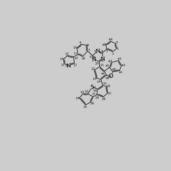 c1ccc(-c2nc(-c3cccc(-c4cccnc4)c3)nc(-c3ccc(-c4cccc5c4sc4ccccc45)c4oc5ccccc5c34)n2)cc1